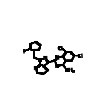 Nc1nc(-c2nn(Cc3ccccc3F)c3ncccc23)nc2c(Cl)cc(Cl)cc12